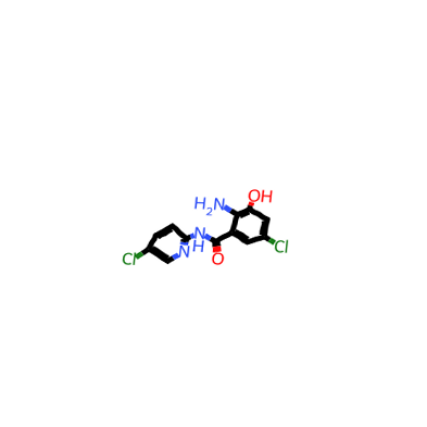 Nc1c(O)cc(Cl)cc1C(=O)Nc1ccc(Cl)cn1